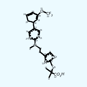 CN(CCc1csc(SC(C)(C)C(=O)O)n1)c1ncc(C2C=C(OC(F)(F)F)C=CC2)cn1